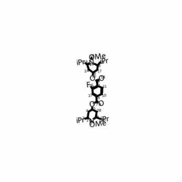 CON1C(C(C)C)CC(OC(=O)c2ccc(C(=O)OC3CC(C(C)C)N(OC)C(C(C)C)C3)c(F)c2)CC1C(C)C